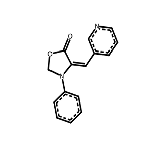 O=C1OCN(c2ccccc2)/C1=C/c1cccnc1